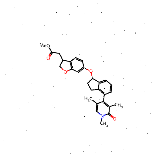 COC(=O)CC1COc2cc(O[C@@H]3CCc4c(-c5c(C)cn(C)c(=O)c5C)cccc43)ccc21